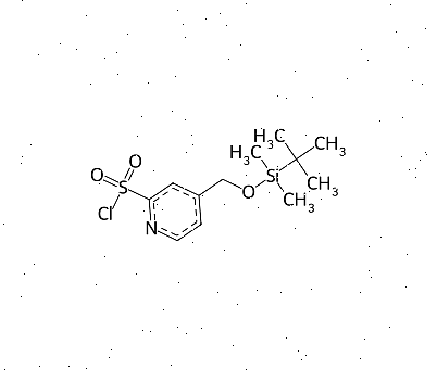 CC(C)(C)[Si](C)(C)OCc1ccnc(S(=O)(=O)Cl)c1